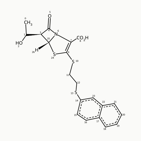 CC(O)[C@H]1C(=O)N2C(C(=O)O)=C(SCCSc3ccc4ccccc4c3)S[C@H]12